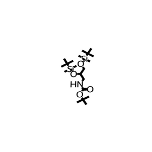 CC(C)(C)OC(=O)NCC(CO[Si](C)(C)C(C)(C)C)O[Si](C)(C)C(C)(C)C